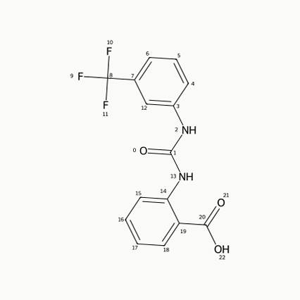 O=C(Nc1cccc(C(F)(F)F)c1)Nc1ccccc1C(=O)O